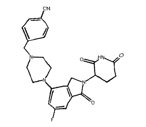 N#Cc1ccc(CN2CCN(c3cc(F)cc4c3CN(C3CCC(=O)NC3=O)C4=O)CC2)cc1